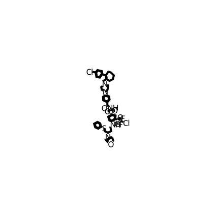 O=C(NS(=O)(=O)c1ccc(NCCC(CSc2ccccc2)N2CC3CC2CO3)c(S(=O)(=O)C(F)(F)Cl)c1)c1ccc(N2CCN(CC3=C(c4ccc(Cl)cc4)CCCCC3)CC2)cc1